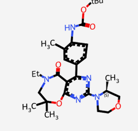 CCN1CC(C)(C)Oc2nc(N3CCOC[C@@H]3C)nc(-c3ccc(NC(=O)OC(C)(C)C)c(C)c3)c2C1=O